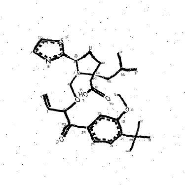 C=CC(OCN1[C@@H](c2nccs2)CC[C@]1(CC(C)C)C(=O)O)C(=O)c1ccc(C(C)(C)C)c(OC)c1